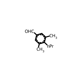 CCCc1c(C)cc(C=O)cc1C